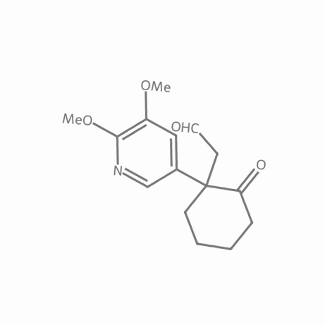 COc1cc(C2(CC=O)CCCCC2=O)cnc1OC